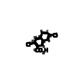 O=C(O)c1cc2cc(Cl)ccc2cc1Cl